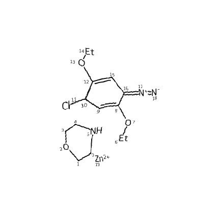 C1COCCN1.CCOC1=CC(Cl)C(OCC)=CC1=[N+]=[N-].[Zn+2]